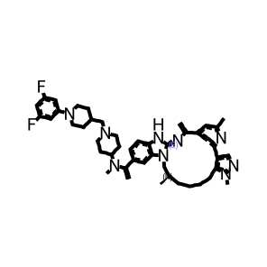 C=C1/N=C2\Nc3ccc(C(=C)N(C)C4CCN(CC5CCN(c6cc(F)cc(F)c6)CC5)CC4)cc3N2C[C@H](C)CCCCc2c(cnn2C)-c2cc1cc(C)n2